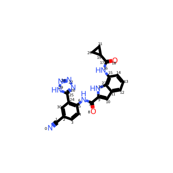 N#Cc1ccc(NC(=O)c2cc3cccc(NC(=O)C4CC4)c3[nH]2)c(-c2nnn[nH]2)c1